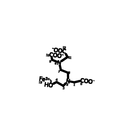 O=C([O-])CN(CCO)CCN(CC(=O)[O-])CC(=O)[O-].[Fe+3]